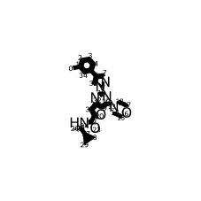 Cc1cccc(-c2cnn(-c3nc(N4CCOCC4)c4oc(C(=O)N[C@@H](C)C5CC5)cc4n3)c2)c1